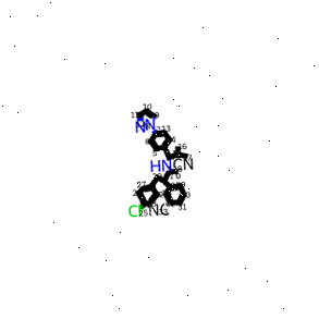 CC(N[C@@H](c1ccc(-n2cccn2)cc1)C(C)(C)C#N)C(Cc1ccc(Cl)cc1)c1cccc(C#N)c1